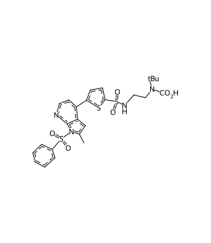 Cc1cc2c(-c3ccc(S(=O)(=O)NCCN(C(=O)O)C(C)(C)C)s3)ccnc2n1S(=O)(=O)c1ccccc1